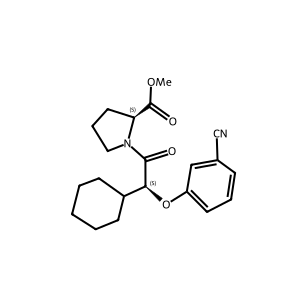 COC(=O)[C@@H]1CCCN1C(=O)[C@@H](Oc1cccc(C#N)c1)C1CCCCC1